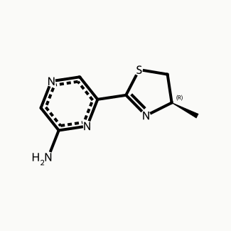 C[C@@H]1CSC(c2cncc(N)n2)=N1